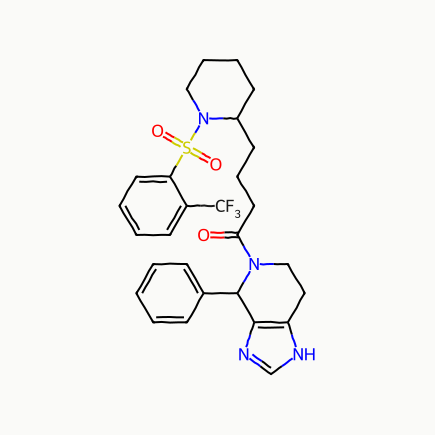 O=C(CCCC1CCCCN1S(=O)(=O)c1ccccc1C(F)(F)F)N1CCc2[nH]cnc2C1c1ccccc1